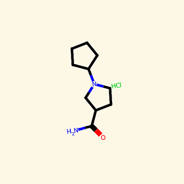 Cl.NC(=O)C1CCN(C2CCCC2)C1